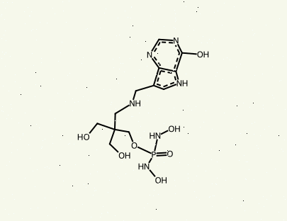 O=P(NO)(NO)OCC(CO)(CO)CNCc1c[nH]c2c(O)ncnc12